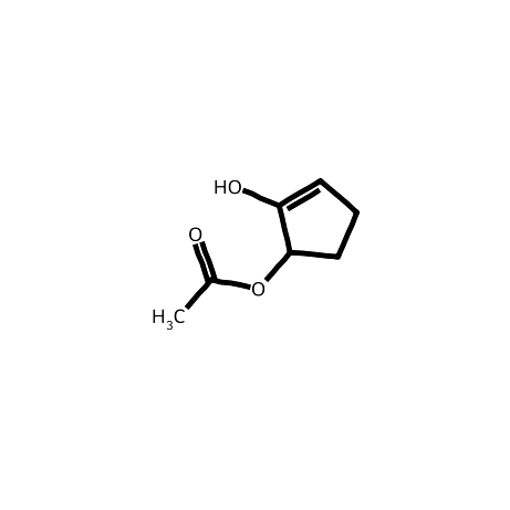 CC(=O)OC1CCC=C1O